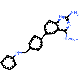 NNc1nc(N)nc2ccc(-c3ccc(CNc4ccccc4)cc3)cc12